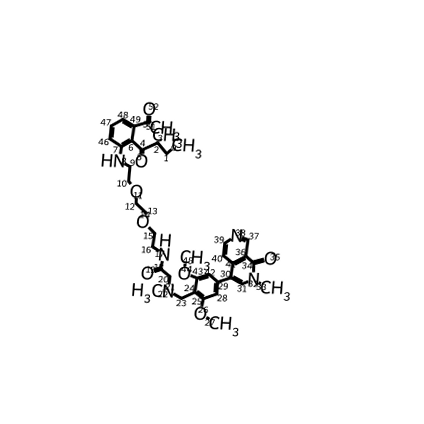 CCC(C)C(=O)c1c(NCCOCCOCCNC(=O)CN(C)Cc2c(OC)cc(-c3cn(C)c(=O)c4cnccc34)cc2OC)cccc1C(C)=O